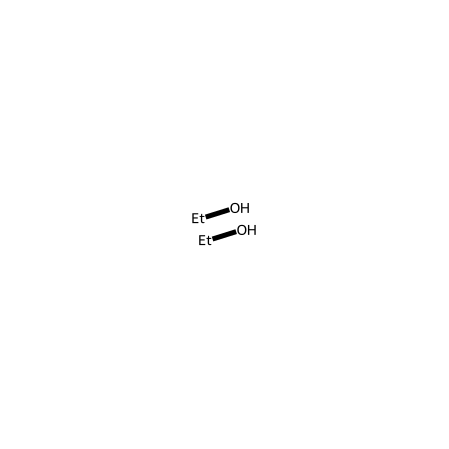 CCO.CCO